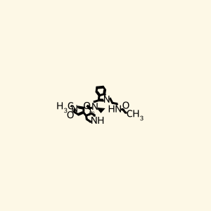 CCC(=O)NCCCn1cc(CN(C(=O)[C@H]2CNCCC2c2ccn(C)c(=O)c2)C2CC2)c2ccccc21